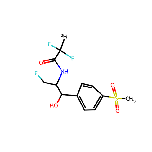 [2H]C(F)(F)C(=O)NC(CF)C(O)c1ccc(S(C)(=O)=O)cc1